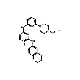 O=CCN1CCN(c2cccc(Nc3ncc(F)c(Nc4ccc5c(n4)NCCO5)n3)c2)CC1